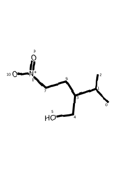 CC(C)C(CO)CC[N+](=O)[O-]